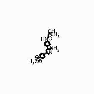 CN(C)CC(=O)Nc1ccc(-c2cc(-c3ccc(S(C)(=O)=O)cc3)cnc2N)cc1